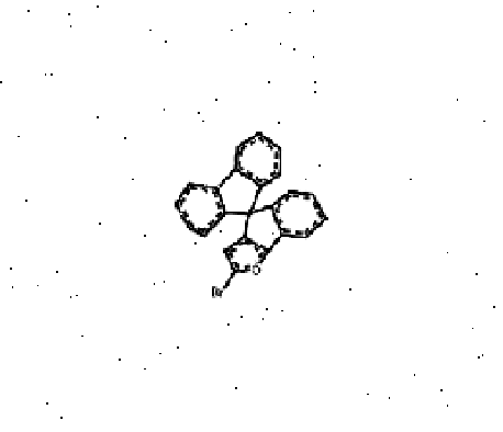 Brc1cc2c(o1)-c1ccccc1C21c2ccccc2-c2ccccc21